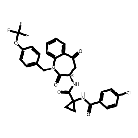 O=C(NC1(C(=O)N[C@@H]2CC(=O)c3ccccc3N(Cc3ccc(OC(F)(F)F)cc3)C2=O)CC1)c1ccc(Cl)cc1